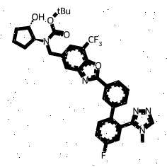 Cn1cnnc1-c1cc(F)ccc1-c1cccc(-c2nc3cc(CN(C(=O)OC(C)(C)C)[C@H]4CCC[C@@H]4O)cc(C(F)(F)F)c3o2)c1